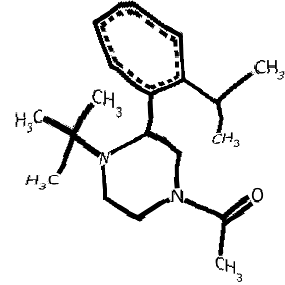 CC(=O)N1CCN(C(C)(C)C)C(c2ccccc2C(C)C)C1